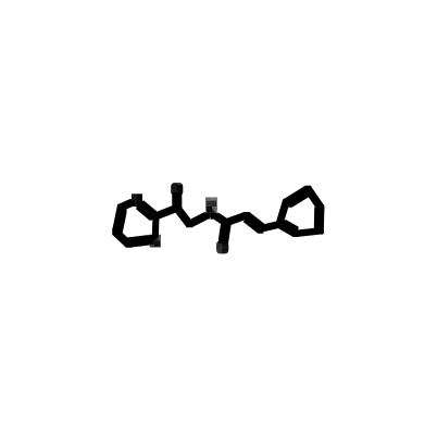 O=C(C=Cc1ccccc1)NCC(=O)c1ncccn1